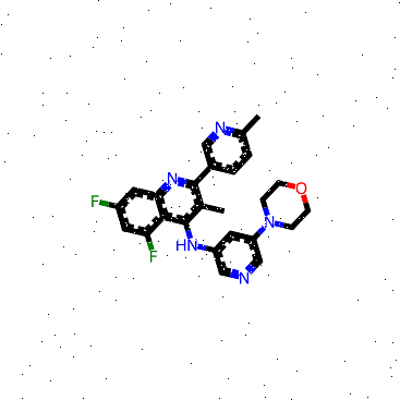 Cc1ccc(-c2nc3cc(F)cc(F)c3c(Nc3cncc(N4CCOCC4)c3)c2C)cn1